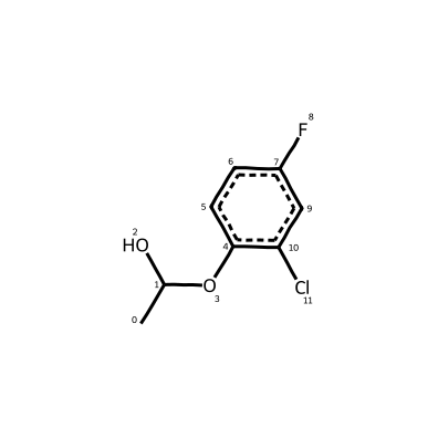 CC(O)Oc1ccc(F)cc1Cl